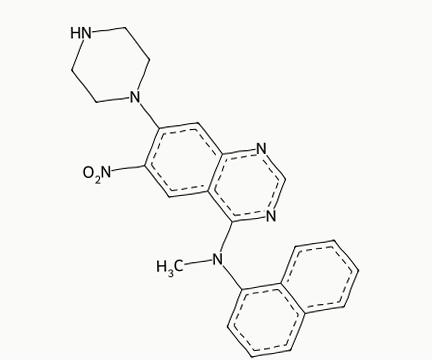 CN(c1cccc2ccccc12)c1ncnc2cc(N3CCNCC3)c([N+](=O)[O-])cc12